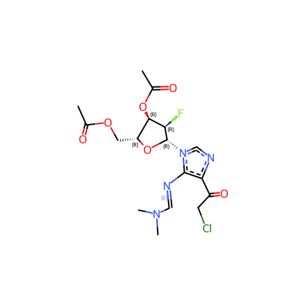 CC(=O)OC[C@H]1O[C@@H](n2cnc(C(=O)CCl)c2/N=C/N(C)C)[C@H](F)[C@@H]1OC(C)=O